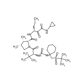 CCC[C@H](NC(=O)[C@@H]1[C@@H](C)[C@@H](C)CN1C(=O)[C@@H](NC(=O)NC1(CS(=O)(=O)C(C)(C)C)CCCCC1)C(C)(C)C)C(=O)C(=O)NC1CC1